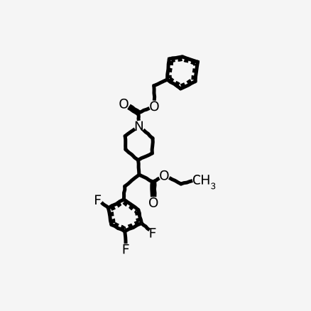 CCOC(=O)C(Cc1cc(F)c(F)cc1F)C1CCN(C(=O)OCc2ccccc2)CC1